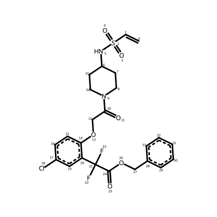 C=CS(=O)(=O)NC1CCN(C(=O)COc2ccc(Cl)cc2C(F)(F)C(=O)OCc2ccccc2)CC1